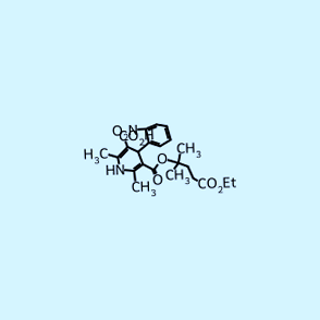 CCOC(=O)CCC(C)(C)OC(=O)C1=C(C)NC(C)=C(C(=O)O)C1c1ccccc1[N+](=O)[O-]